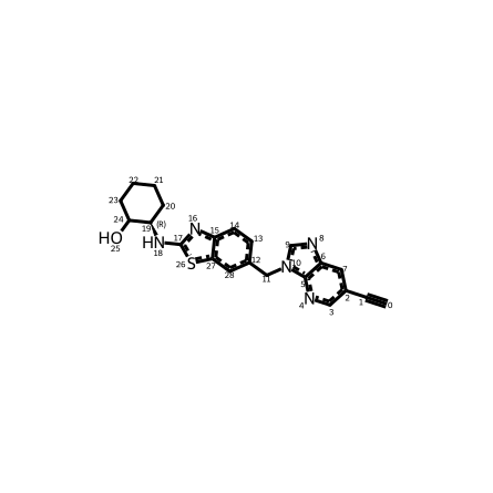 C#Cc1cnc2c(c1)ncn2Cc1ccc2nc(N[C@@H]3CCCCC3O)sc2c1